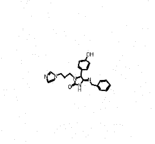 O=C1N/C(=N\Cc2ccccc2)C(c2ccc(O)cc2)N1CCCn1ccnc1